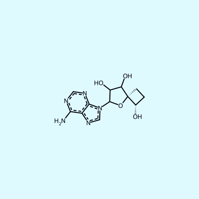 Nc1ncnc2c1ncn2C1O[C@@]2(CC[C@@H]2O)C(O)C1O